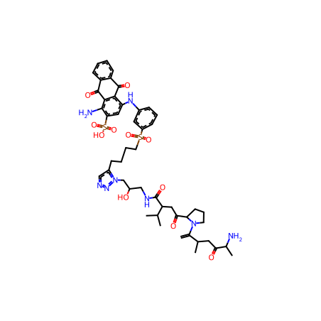 C=C(C(C)CC(=O)C(C)N)N1CCCC1C(=O)CC(C(=O)NCC(O)Cn1nncc1CCCCS(=O)(=O)c1cccc(Nc2cc(S(=O)(=O)O)c(N)c3c2C(=O)c2ccccc2C3=O)c1)C(C)C